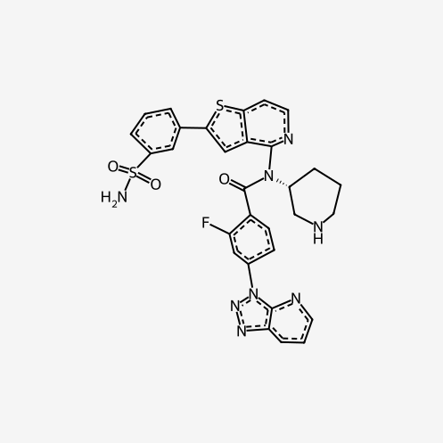 NS(=O)(=O)c1cccc(-c2cc3c(N(C(=O)c4ccc(-n5nnc6cccnc65)cc4F)[C@@H]4CCCNC4)nccc3s2)c1